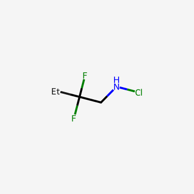 CCC(F)(F)CNCl